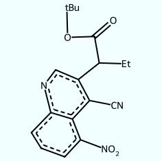 CCC(C(=O)OC(C)(C)C)c1cnc2cccc([N+](=O)[O-])c2c1C#N